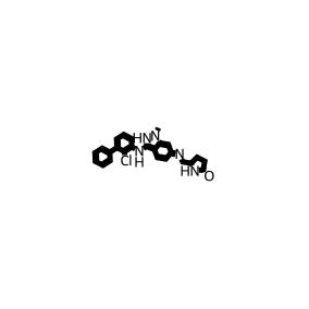 Cn1[nH]c(Nc2cccc(-c3ccccc3)c2Cl)c2ccc(=NCC3CCC(=O)N3)cc1-2